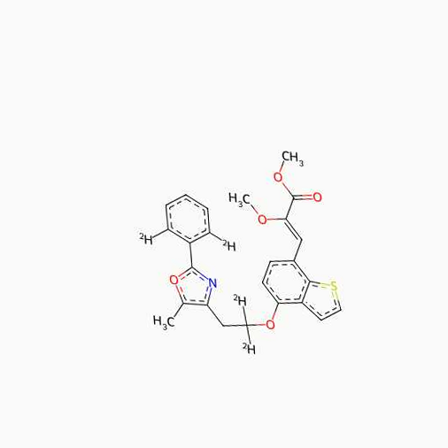 [2H]c1cccc([2H])c1-c1nc(CC([2H])([2H])Oc2ccc(/C=C(\OC)C(=O)OC)c3sccc23)c(C)o1